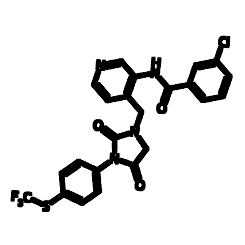 O=C(Nc1cnccc1CN1CC(=O)N(c2ccc(SC(F)(F)F)cc2)C1=O)c1cccc(Cl)c1